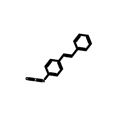 O=C=Nc1ccc(C=Cc2ccccc2)cc1